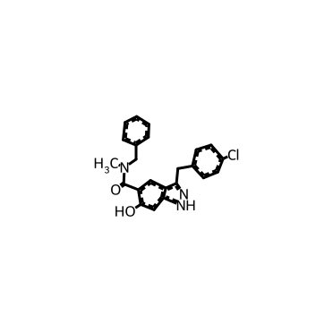 CN(Cc1ccccc1)C(=O)c1cc2c(Cc3ccc(Cl)cc3)n[nH]c2cc1O